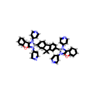 CC1(C)c2cc(B3N(c4ccncc4)c4oc5ccccc5c4N3c3ccncc3)ccc2-c2ccc(B3N(c4ccncc4)c4oc5ccccc5c4N3c3ccncc3)cc21